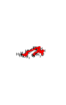 COc1ccc(C(NCCCC[C@H](NC(=O)[C@H](Cc2ccccc2)NC(=O)CCC(=O)NCCOCCOCCNC(=O)O[C@H]2CC[C@@]3(C)C(=CC[C@@H]4C3CC[C@@]3(C)C4CC[C@@H]3[C@H](C)CCCC(C)C)C2)C(=O)Nc2ccc(COC(=O)Oc3ccc([N+](=O)[O-])cc3)cc2)(c2ccccc2)c2ccccc2)cc1